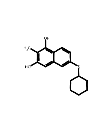 Cc1c(O)cc2cc(SC3CCCCC3)ccc2c1O